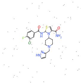 NC(=O)C1=CSC(NC(=O)c2ccc(F)c(Cl)c2)N1C1CCN(Cc2cc[nH]n2)CC1